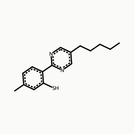 CCCCCc1cnc(-c2ccc(C)cc2S)nc1